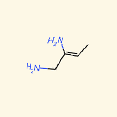 CC=C(N)CN